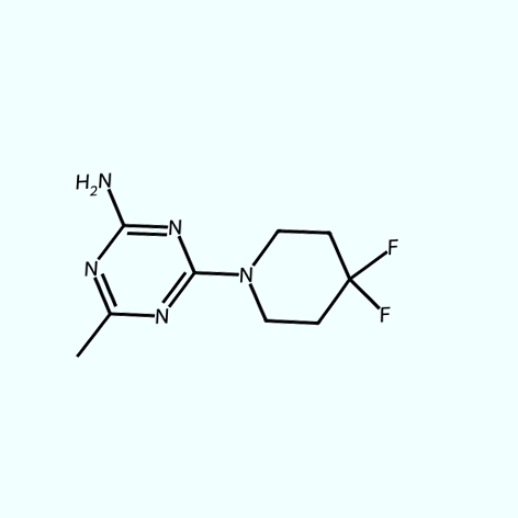 Cc1nc(N)nc(N2CCC(F)(F)CC2)n1